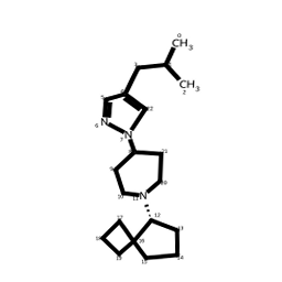 CC(C)Cc1cnn(C2CCN([C@@H]3CCCC34CCC4)CC2)c1